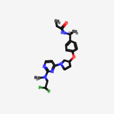 CCC(=O)N[C@@H](C)c1ccc(OC2CCN(c3ccnc(N(C)CC(F)F)n3)C2)cc1